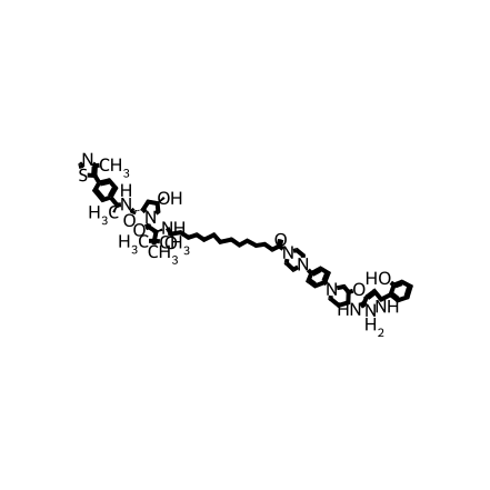 Cc1ncsc1-c1ccc([C@H](C)NC(=O)[C@@H]2C[C@@H](O)CN2C(=O)[C@@H](NC(=O)CCCCCCCCCCCCC(=O)N2CCN(c3ccc(N4CCCC(O/C(=C/C(=N)c5ccccc5O)C(=N)N)C4)cc3)CC2)C(C)(C)C)cc1